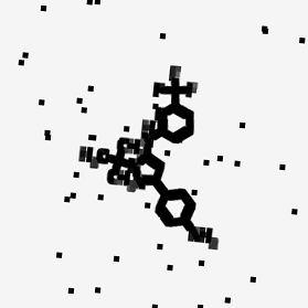 CC(C)(C)n1nc(-c2ccc(N)cc2)cc1Nc1cccc(C(F)(F)F)n1